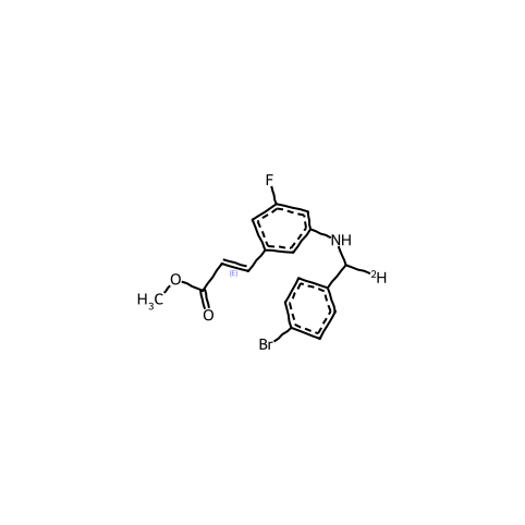 [2H]C(Nc1cc(F)cc(/C=C/C(=O)OC)c1)c1ccc(Br)cc1